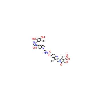 CCc1c2c(nc3ccc(OC(=O)NCCn4ccc5cc(-n6c(O)cnc6-c6cc(C(C)C)c(O)cc6O)ccc54)cc13)-c1cc3c(c(=O)n1C2)COC(=O)C3(O)CC